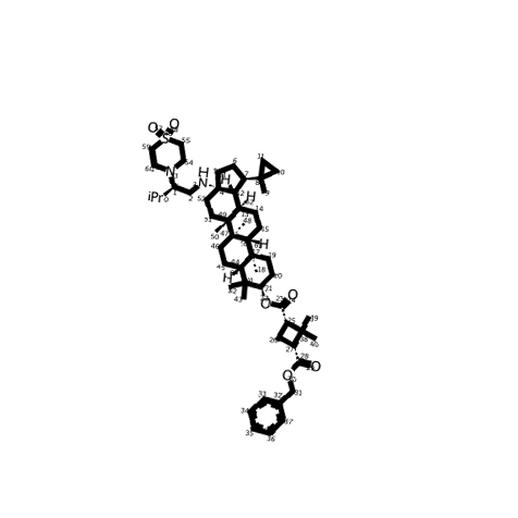 CC(C)[C@H](CN[C@]12CC[C@@H](C3(C)CC3)[C@@H]1[C@H]1CC[C@@H]3[C@@]4(C)CC[C@H](OC(=O)[C@H]5C[C@@H](C(=O)OCc6ccccc6)C5(C)C)C(C)(C)[C@@H]4CC[C@@]3(C)[C@]1(C)CC2)N1CCS(=O)(=O)CC1